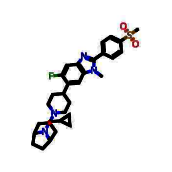 Cn1c(-c2ccc(S(C)(=O)=O)cc2)nc2cc(F)c(C3CCN(C4CC5CCC(C4)N5CC4CC4)CC3)cc21